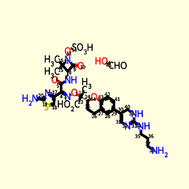 CC(O/N=C(\C(=O)N[C@@H]1C(=O)N(OS(=O)(=O)O)C1(C)C)c1csc(N)n1)(C(=O)O)[C@H]1CCc2cc(C3=CN=C(NCCCN)NC3)ccc2O1.O=CO